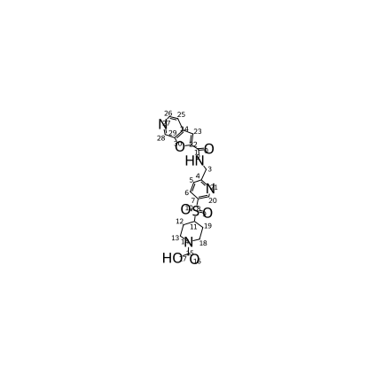 O=C(NCc1ccc(S(=O)(=O)C2CCN(C(=O)O)CC2)cn1)c1cc2ccncc2o1